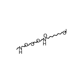 CCNCCOCCOCCOCCNC(=O)CCCCCCCCOI